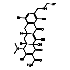 CCc1cc(CNCC(C)C)c(O)c2c1C[C@H]1C[C@H]3[C@@H](N(C)C)C(O)=C(C(N)=O)C(=O)[C@@]3(O)C(O)=C1C2=O